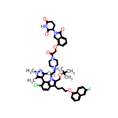 Cc1nn(C)c(C)c1-c1c(Cl)ccc2c(CCCOc3cccc4cc(F)ccc34)c(COC(C)(C)C)n(CCN3CCN(C(=O)COc4cccc5c4CN(C4CCC(=O)NC4=O)C5=O)CC3)c12